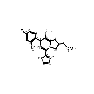 COCC1CC2=C(C=O)C(c3ccc(F)cc3Br)N=C(c3nccs3)N2C1